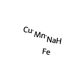 [Cu].[Fe].[Mn].[NaH]